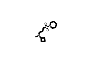 CN(CCCS(=O)(=O)N1CC[CH]CC1)C1CCC1